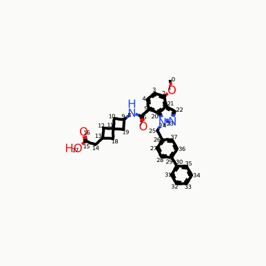 COc1ccc(C(=O)NC2CC3(CC(CC(=O)O)C3)C2)c2c1cnn2Cc1ccc(-c2ccccc2)cc1